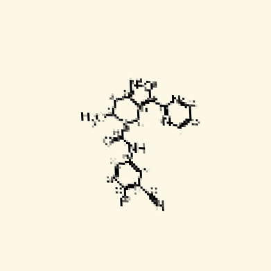 CC1Cc2noc(-c3ncccn3)c2CN1C(=O)Nc1ccc(F)c(C#N)c1